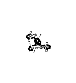 O=C(O)C(C[N+]1(O)C(=O)CCC1=O)C12CC3CC(C(C[N+]4(O)C(=O)CCC4=O)C(=O)O)(C1)CC(C(C[N+]1(O)C(=O)CCC1=O)C(=O)O)(C3)C2